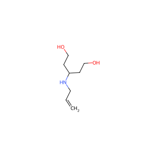 C=CCNC(CCO)CCO